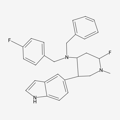 CN1CC(c2ccc3[nH]ccc3c2)C(N(Cc2ccccc2)Cc2ccc(F)cc2)CC1F